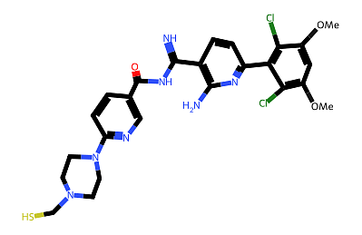 COc1cc(OC)c(Cl)c(-c2ccc(C(=N)NC(=O)c3ccc(N4CCN(CS)CC4)nc3)c(N)n2)c1Cl